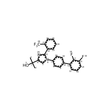 CC(C)(O)c1cn(-c2ccc(-c3cccc(F)c3F)cc2)c(-c2ccccc2C(F)(F)F)n1